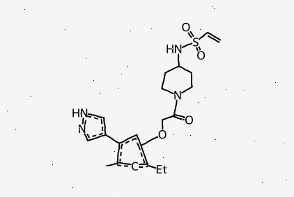 C=CS(=O)(=O)NC1CCN(C(=O)COc2cc(-c3cn[nH]c3)c(C)cc2CC)CC1